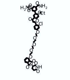 CCOc1cc2oc(-c3ccc(OCCOCCOCCOCCOc4cccc5c4C(=O)N(C4CCC(=O)NC4=O)C5=O)cc3Cl)cc(=O)c2cc1-c1cc(C(N)=O)cc(S(N)(=O)=O)c1